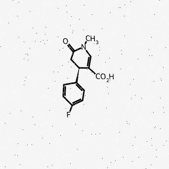 CN1C=C(C(=O)O)[C@@H](c2ccc(F)cc2)CC1=O